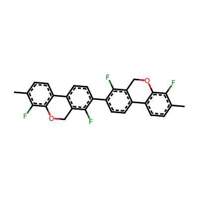 Cc1ccc2c(c1F)OCc1c-2ccc(-c2ccc3c(c2F)COc2c-3ccc(C)c2F)c1F